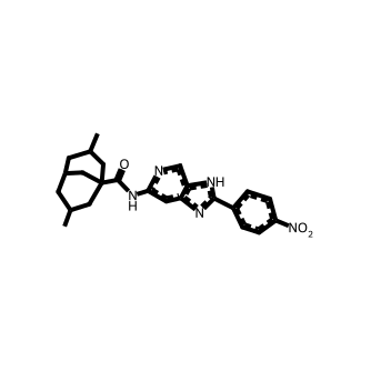 CC1CC2CC(C)CC(C(=O)Nc3cc4nc(-c5ccc([N+](=O)[O-])cc5)[nH]c4cn3)(C1)C2